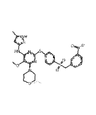 COc1c(Nc2cc(C)[nH]n2)nc(Sc2ccc(S(=O)(=O)Cc3cccc([N+](=O)[O-])c3)cc2)nc1N1CCO[C@@H](C)C1